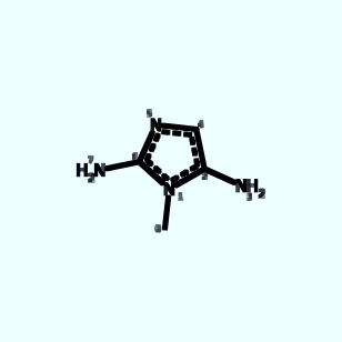 Cn1c(N)cnc1N